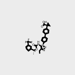 CCc1nnn(-c2ccc(-c3ccc(C4(C(=O)O)CC4)cc3)cc2)c1NC(=O)O[C@H](C)c1cccc(C(F)(F)F)c1